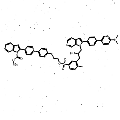 Cc1ccc(S(=O)(=O)OCCOc2ccc(-c3ccc(-c4cc5ccncc5n4C(=O)OC(C)(C)C)cc3)cc2)cc1C[C@@H](O)Cn1c(-c2ccc(-c3ccc(N(C)C)nc3)cc2)cc2ccncc21